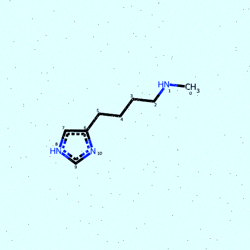 CNCCCCc1c[nH]cn1